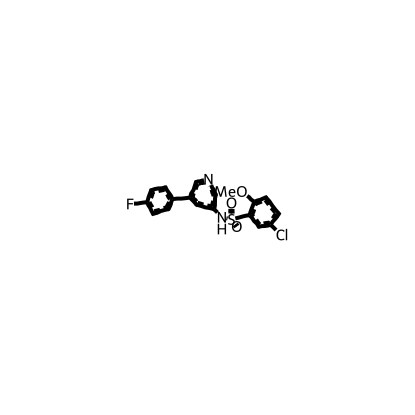 COc1ccc(Cl)cc1S(=O)(=O)Nc1cncc(-c2ccc(F)cc2)c1